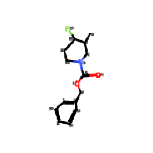 CC1CN(C(=O)OCc2ccccc2)CCC1F